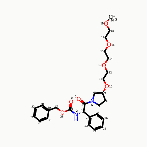 O=C(N[C@H](C(=O)N1CC[C@H](OCCOCCOCCOC(F)(F)F)C1)c1ccccc1)OCc1ccccc1